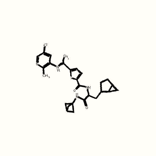 Cc1ncc(Cl)cc1NC(C)c1ccc(C(=O)NC(CC2CCC3CC23)C(=O)NC23CC(C2)C3)s1